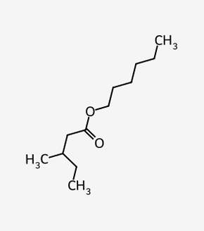 CCCCCCOC(=O)CC(C)CC